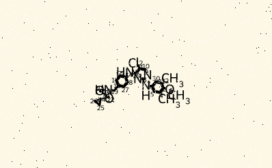 COc1c(C)cc(Nc2ncc(Cl)c(Nc3ccc(CNS(=O)(=O)C4CC4)cc3)n2)cc1C